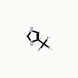 FC(F)(F)C1=CN[C]N1